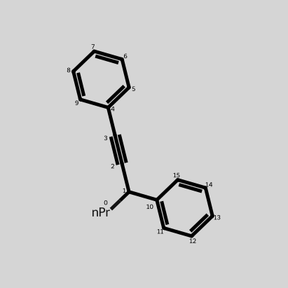 CCCC(C#Cc1ccccc1)c1ccccc1